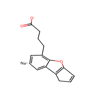 O=C([O-])CCCc1cccc2c3c(oc12)C=CC3.[Na+]